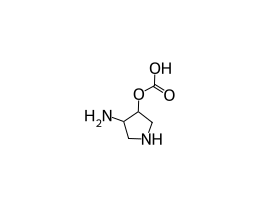 NC1CNCC1OC(=O)O